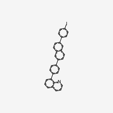 Ic1ccc(-c2ccc3cc(-c4ccc(-c5cccc6cccnc56)cc4)ccc3c2)cc1